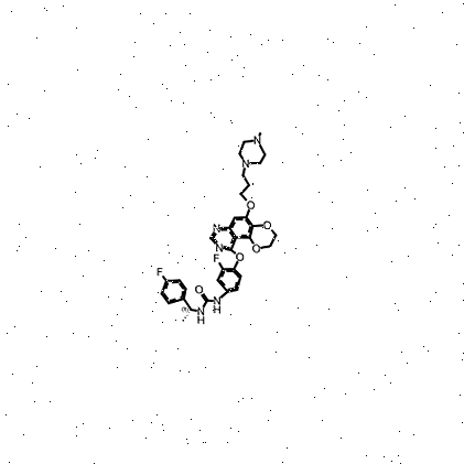 C[C@@H](NC(=O)Nc1ccc(Oc2ncnc3cc(OCCCN4CCN(C)CC4)c4c(c23)OCCO4)c(F)c1)c1ccc(F)cc1